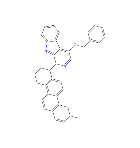 CC1C=Cc2ccc3c4c(ccc3c2C1)C(C1N=CC(OCc2ccccc2)=C2C1=Nc1c[c]ccc12)CCC4